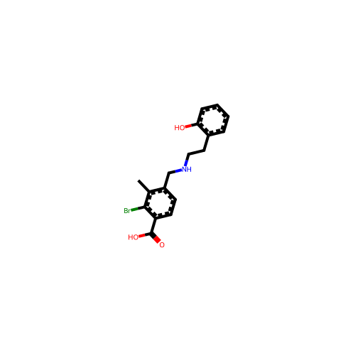 Cc1c(CNCCc2ccccc2O)ccc(C(=O)O)c1Br